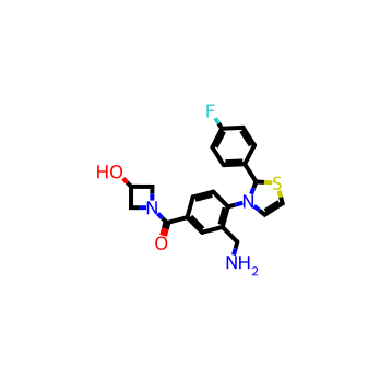 NCc1cc(C(=O)N2CC(O)C2)ccc1N1C=CSC1c1ccc(F)cc1